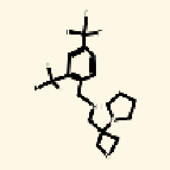 FC(F)(F)c1ccc(CNCC2(N3CCCC3)COC2)c(C(F)(F)F)c1